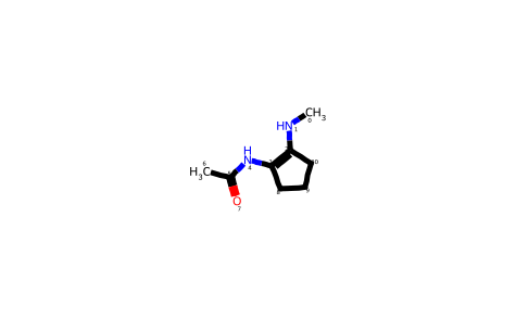 CNC1=C(NC(C)=O)CCC1